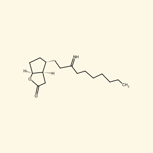 CCCCCCCC(=N)CC[C@H]1CC[C@@H]2OC(=O)C[C@H]12